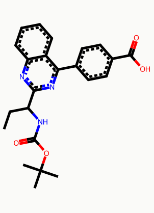 CCC(NC(=O)OC(C)(C)C)c1nc(-c2ccc(C(=O)O)cc2)c2ccccc2n1